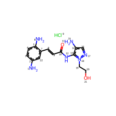 Cl.Nc1ccc(N)c(/C=C/C(=O)Nc2c(N)cnn2CCO)c1